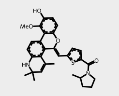 COc1c(O)ccc2c1-c1ccc3c(c1/C(=C/c1ccc(C(=O)N4CCCC4C)s1)O2)C(C)=CC(C)(C)N3